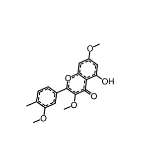 COc1cc(O)c2c(=O)c(OC)c(-c3ccc(C)c(OC)c3)oc2c1